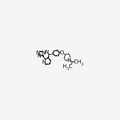 CC(C)N1CCC(Oc2ccc(-c3nn4cnnc4c4ncccc34)cc2)CC1